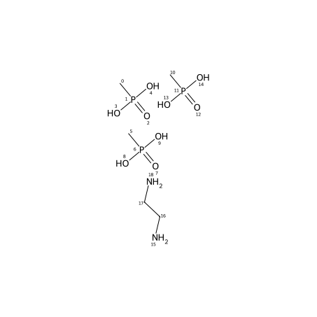 CP(=O)(O)O.CP(=O)(O)O.CP(=O)(O)O.NCCN